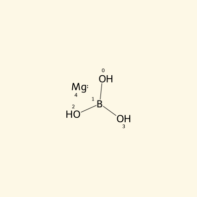 OB(O)O.[Mg]